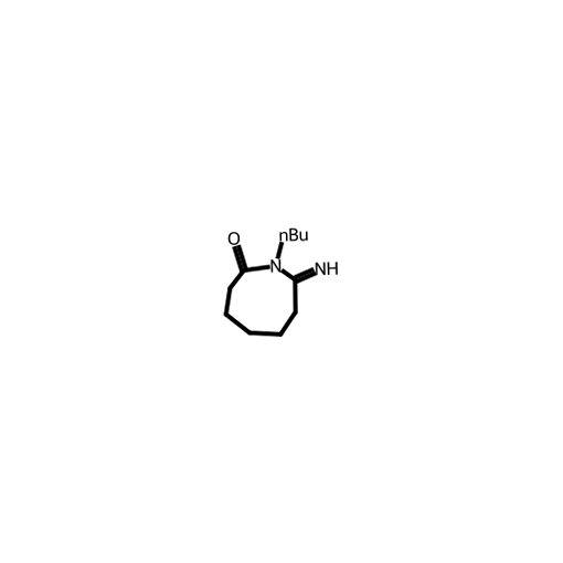 CCCCN1C(=N)CCCCCC1=O